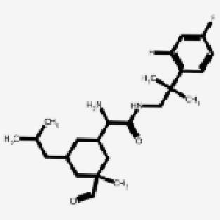 CC(C)CC1CC(C(N)C(=O)NCC(C)(C)c2ccc(F)cc2F)CC(C)(C=O)C1